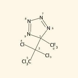 FC(F)(F)C1(C(Cl)(Cl)C(Cl)(Cl)Cl)N=NN=N1